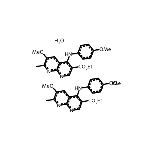 CCOC(=O)c1cnc2nc(C)c(OC)cc2c1Nc1ccc(OC)cc1.CCOC(=O)c1cnc2nc(C)c(OC)cc2c1Nc1ccc(OC)cc1.Cl.O